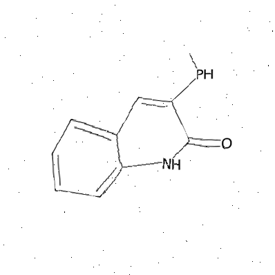 CPc1cc2ccccc2[nH]c1=O